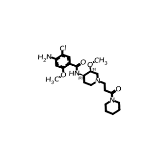 COc1cc(N)c(Cl)cc1C(=O)N[C@@H]1CCN(CCC(=O)N2CCCCC2)C[C@@H]1OC